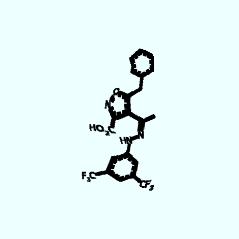 CC(=NNc1cc(C(F)(F)F)cc(C(F)(F)F)c1)c1c(C(=O)O)noc1Cc1ccccc1